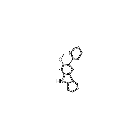 COc1[c]c2[nH]c3ccccc3c2cc1-c1ccccn1